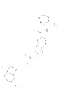 COc1ccc2[nH]cc(CCNC(=O)Nc3nc4ccc(C(=O)Nc5c(C)cccc5Cl)cc4s3)c2c1